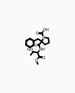 COC(=O)C(NC(=O)C1(Cc2ccccc2)CCCN1C(=O)O)C(C)O